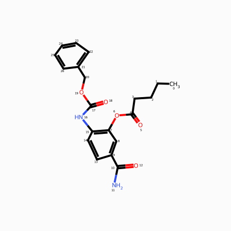 CCCCC(=O)Oc1cc(C(N)=O)ccc1NC(=O)OCc1ccccc1